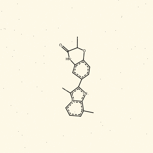 Cc1cccn2c(C)c(-c3ccc4c(c3)NC(=O)C(C)O4)nc12